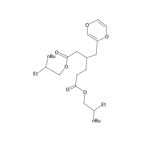 CCCCC(CC)COC(=O)CCC(CC(=O)OCC(CC)CCCC)CC1=COC=CO1